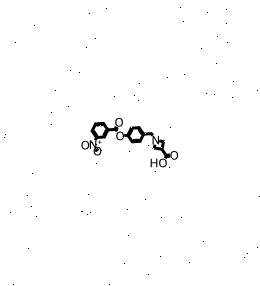 O=C(Oc1ccc(CN2CC(C(=O)O)C2)cc1)c1cccc([N+](=O)[O-])c1